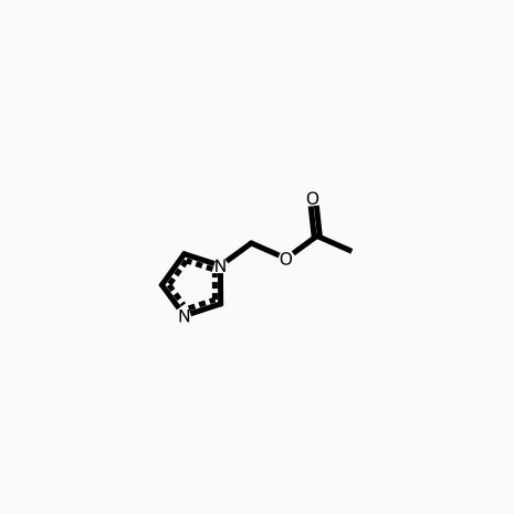 CC(=O)OCn1ccnc1